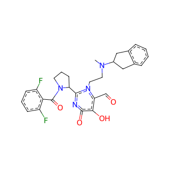 CN(CCn1c(C2CCCN2C(=O)c2c(F)cccc2F)nc(=O)c(O)c1C=O)C1Cc2ccccc2C1